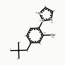 CC(C)(C)Cc1ccc(-n2nccn2)c(O)c1